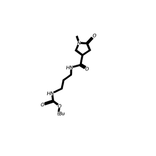 CN1CC(C(=O)NCCCNC(=O)OC(C)(C)C)CC1=O